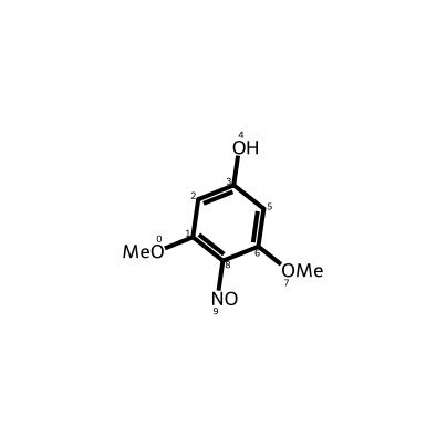 COc1cc(O)cc(OC)c1N=O